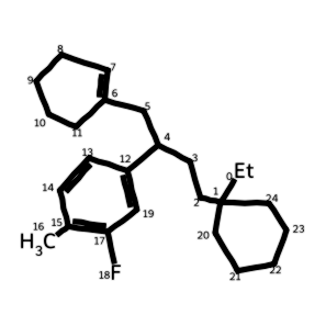 CCC1(CCC(CC2=CCCCC2)c2ccc(C)c(F)c2)CCCCC1